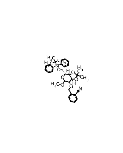 COC1O[C@H](CO[Si](c2ccccc2)(c2ccccc2)C(C)(C)C)[C@@H]2OC(C)(C)O[C@@H]2[C@H]1OCc1ccccc1C#N